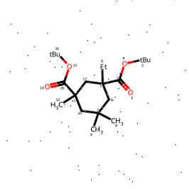 CCC1(C(=O)OC(C)(C)C)CC(C)(C)CC(C)(C(=O)OC(C)(C)C)C1